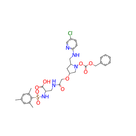 Cc1cc(C)c(S(=O)(=O)NC(CNC(=O)COC2CC(CNc3ccc(Cl)cn3)N(OC(=O)OCc3ccccc3)C2)C(=O)O)c(C)c1